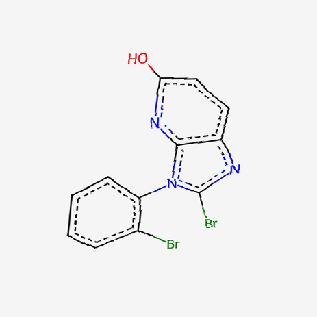 Oc1ccc2nc(Br)n(-c3ccccc3Br)c2n1